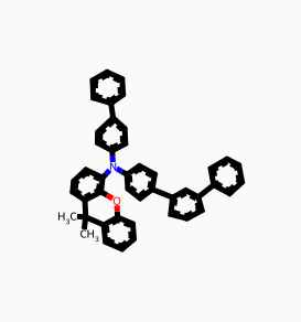 CC1(C)c2ccccc2Oc2c(N(c3ccc(-c4ccccc4)cc3)c3ccc(-c4cccc(-c5ccccc5)c4)cc3)cccc21